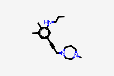 CCCNc1cc(C#CCN2CCCN(C)CC2)cc(C)c1C